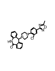 Cc1nc(-c2ccc(N3CCN(C4c5ccccc5NC(=O)c5ccccc54)CC3)c(Cl)c2)no1